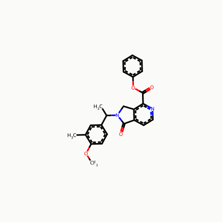 Cc1cc(C(C)N2Cc3c(ccnc3C(=O)Oc3ccccc3)C2=O)ccc1OC(F)(F)F